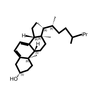 CC(C)C(C)CC[C@@H](C)[C@H]1CC[C@H]2C3=CC=C4C[C@@H](O)CC[C@]4(C)[C@H]3CC[C@]12C